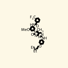 CCN(CC)CCOc1ccc(Nc2ncc3c(C)n(-c4cc(NC(=O)c5cccc(C(F)(F)F)c5)cc(OC)c4)c(=O)nc3n2)cc1